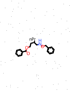 CCCC(CCOC(=O)c1ccccc1)CNOCc1ccccc1